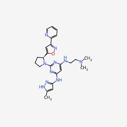 Cc1cc(Nc2cc(NCCN(C)C)nc(N3CCC[C@H]3c3cc(-c4ccccn4)no3)n2)n[nH]1